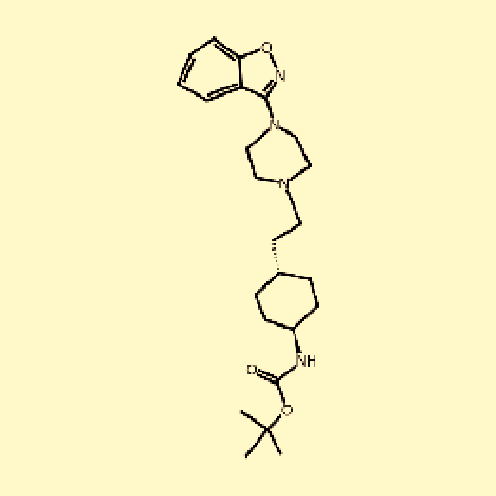 CC(C)(C)OC(=O)N[C@H]1CC[C@H](CCN2CCN(c3noc4ccccc34)CC2)CC1